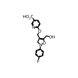 O=C(O)c1ccc(OCC2=C(CO)ON(c3ccc(F)cc3)C2)nc1